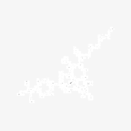 CCCCCOC(=O)C1=CC(=NOC)[C@](F)(C(F)(F)F)C(OC(=O)c2ccc(C(F)(F)F)cc2)=C1O